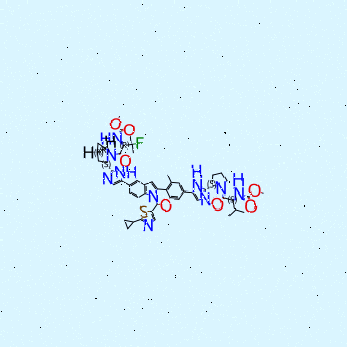 COC(=O)N[C@H](C(=O)N1CCC[C@H]1c1ncc(-c2cc(C)c3c(c2)OC(c2cnc(C4CC4)s2)n2c-3cc3cc(-c4cnc([C@@H]5C[C@H]6C[C@H]6N5C(=O)[C@@H](NC(=O)OC)C(C)(C)F)[nH]4)ccc32)[nH]1)C(C)C